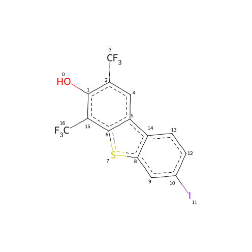 Oc1c(C(F)(F)F)cc2c(sc3cc(I)ccc32)c1C(F)(F)F